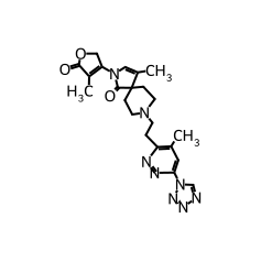 CC1=CN(C2=C(C)C(=O)OC2)C(=O)C12CCN(CCc1nnc(-n3cnnn3)cc1C)CC2